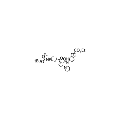 CCOC(=O)c1cc2cc(NC(=O)[C@H]3[C@H](N4CCCCC4)CCN3C(=O)C3CCC([C@@H](CF)NC(=O)OC(C)(C)C)CC3)ccc2o1